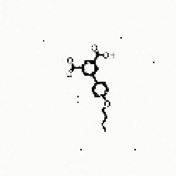 CCCCOc1ccc(-c2cc(C(=O)O)cc(C(=O)O)c2)cc1